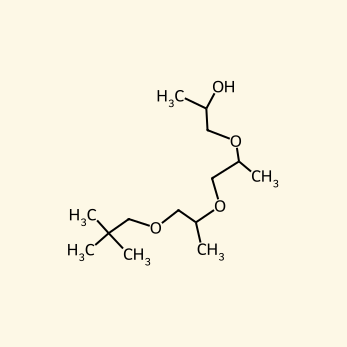 CC(O)COC(C)COC(C)COCC(C)(C)C